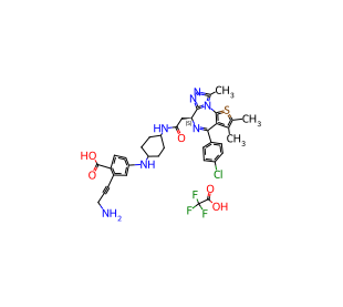 Cc1sc2c(c1C)C(c1ccc(Cl)cc1)=N[C@@H](CC(=O)NC1CCC(Nc3ccc(C(=O)O)c(C#CCN)c3)CC1)c1nnc(C)n1-2.O=C(O)C(F)(F)F